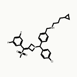 CS(=O)(=O)C(=C1CN(C(c2ccc(Cl)cc2)c2ccc(CNCCCC3CC3)cc2)C1)c1cc(F)cc(F)c1